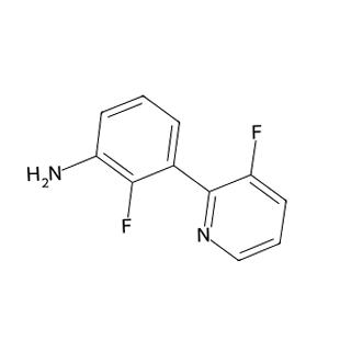 Nc1cccc(-c2ncccc2F)c1F